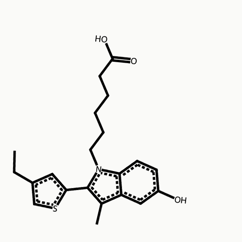 CCc1csc(-c2c(C)c3cc(O)ccc3n2CCCCCC(=O)O)c1